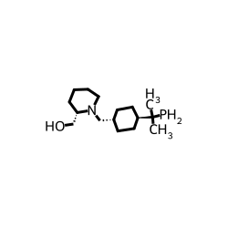 CC(C)(P)[C@H]1CC[C@H](CN2CCCC[C@H]2CO)CC1